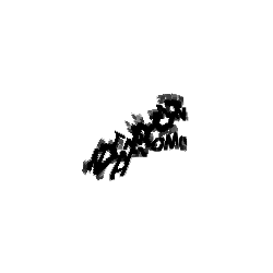 COc1nc(N[C@H]2CN(C)C[C@H]2F)nn2ccc(-c3ccc4nccn4c3)c12